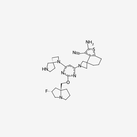 N#Cc1c(N)sc2c1C1(CCC2)CN(c2cc(N3CC[C@@]34CCNC4)nc(OC[C@@]34CCCN3C[C@H](F)C4)n2)C1